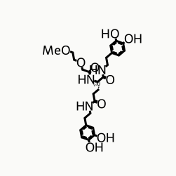 COCCOCC(=O)N[C@@H](CCC(=O)NCCc1ccc(O)c(O)c1)C(=O)NCCc1ccc(O)c(O)c1